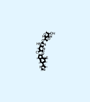 O[C@@H]1CO[C@H]2[C@@H]1OC[C@H]2Oc1nc2nc(OC3CCc4cc(-c5cscn5)cc(F)c43)c(Cl)cc2[nH]1